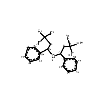 FC(F)(F)CC(OC(CC(F)(F)F)c1ccccc1)c1ccccc1